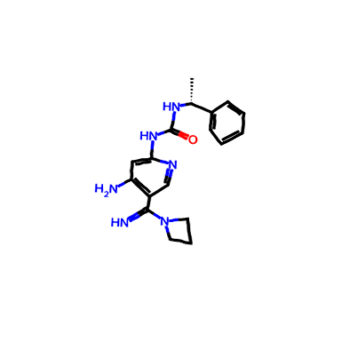 C[C@@H](NC(=O)Nc1cc(N)c(C(=N)N2CCC2)cn1)c1ccccc1